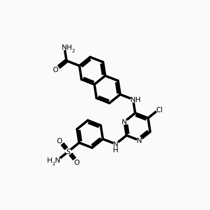 NC(=O)c1ccc2cc(Nc3nc(Nc4cccc(S(N)(=O)=O)c4)ncc3Cl)ccc2c1